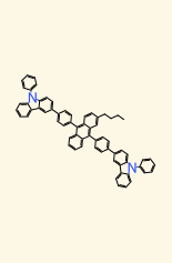 CCCCc1ccc2c(-c3ccc(-c4ccc5c(c4)c4ccccc4n5-c4ccccc4)cc3)c3ccccc3c(-c3ccc(-c4ccc5c(c4)c4ccccc4n5-c4ccccc4)cc3)c2c1